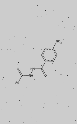 CC(=O)C(=O)NNC(=O)c1ccc([N+](=O)[O-])cc1